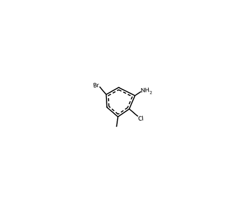 Cc1cc(Br)cc(N)c1Cl